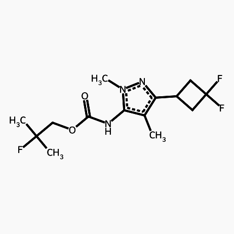 Cc1c(C2CC(F)(F)C2)nn(C)c1NC(=O)OCC(C)(C)F